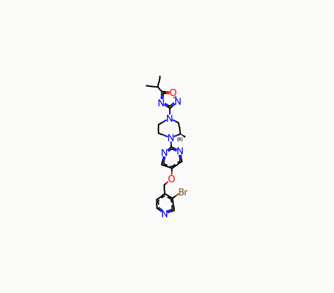 CC(C)c1nc(N2CCN(c3ncc(OCc4ccncc4Br)cn3)[C@H](C)C2)no1